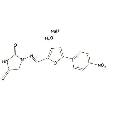 O.O=C1CN(/N=C/c2ccc(-c3ccc([N+](=O)[O-])cc3)o2)C(=O)N1.[NaH]